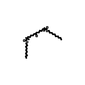 CCCCCCCCCCOC(=O)C(C)(C)CCCCCC(=O)CCCCCC(C)(C)C(=O)OCCCCCCCCCC